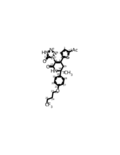 CC(=O)c1ccc(C2=C(n3nn[nH]c3=O)C(=O)N[C@](C)(c3ccc(OCCCC(F)(F)F)cc3)C2)s1